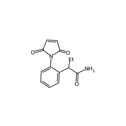 CCC(C(N)=O)c1ccccc1N1C(=O)C=CC1=O